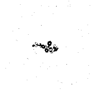 CCOC(=O)c1sc2ccc(SN(Cc3ccccc3)c3ccccc3N3CCN(C(=O)c4sccc4Br)CC3)cc2c1C